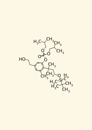 Cc1cc(CCO)cc(OP(=O)(OCC(C)C)OCC(C)C)c1C(C)(C)CCO[Si](C)(C)C(C)(C)C